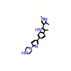 Cc1nn(C)cc1-c1[nH]c2cc(-c3ccc(N4CCNCC4)nc3)ccc2c1C